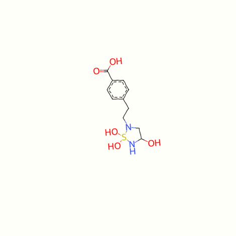 O=C(O)c1ccc(CCN2CC(O)NS2(O)O)cc1